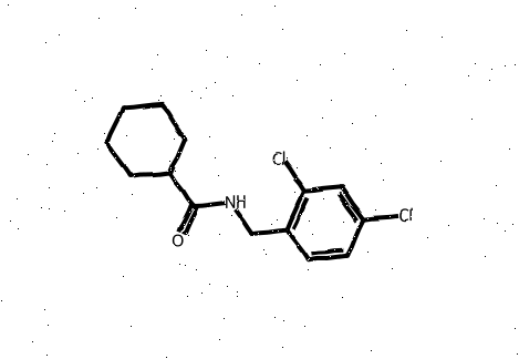 O=C(NCc1ccc(Cl)cc1Cl)C1CCCCC1